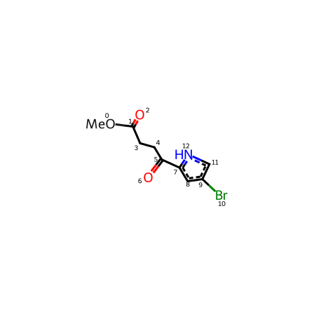 COC(=O)CCC(=O)c1cc(Br)c[nH]1